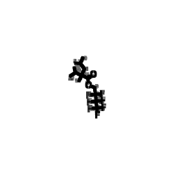 CC(C)CC(C)(C(=O)OCC(F)(F)C(F)(F)C(F)(F)F)C(C)C